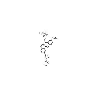 COc1cccc(C(CCOS(C)(=O)=O)n2cnc3ccc(-c4cnn(C5CCCCO5)c4)cc3c2=O)c1